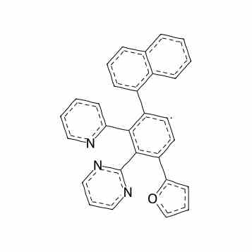 [c]1cc(-c2ccco2)c(-c2ncccn2)c(-c2ccccn2)c1-c1cccc2ccccc12